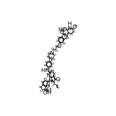 C=CCn1c(=O)c2cnc(Nc3ccc(N4CCN(CCCOc5ccc6c(c5)CN(C5CCC(=O)NC5O)C6=O)CC4)cc3)nc2n1-c1ccc2c(n1)[C@@](O)(CC)CC2